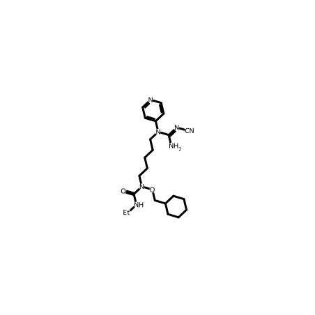 CCNC(=O)N(CCCCCN(C(N)=NC#N)c1ccncc1)OCC1CCCCC1